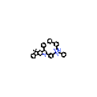 CC1(C)c2ccccc2-c2cc3nc(-c4cccc(-c5nc(-c6ccccc6)nc(-c6cccc(-c7ccccc7)c6)n5)c4)cc(-c4ccccc4)c3cc21